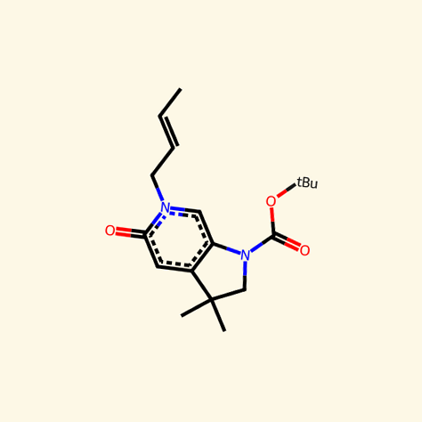 CC=CCn1cc2c(cc1=O)C(C)(C)CN2C(=O)OC(C)(C)C